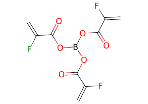 C=C(F)C(=O)OB(OC(=O)C(=C)F)OC(=O)C(=C)F